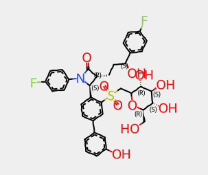 O=C1[C@H](CC[C@H](O)c2ccc(F)cc2)[C@@H](c2ccc(-c3cccc(O)c3)cc2S(=O)(=O)CC2O[C@H](CO)[C@@H](O)[C@H](O)[C@H]2O)N1c1ccc(F)cc1